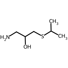 CC(C)SCC(O)CN